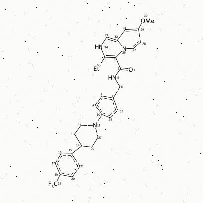 CCC1=C(C(=O)NCc2ccc(N3CCC(c4ccc(C(F)(F)F)cc4)CC3)cc2)N2C=CC(OC)=CC2=CN1